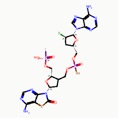 Nc1ncnc2c1ncn2[C@@H]1O[C@H](COP(=O)(S)OCC2C[C@H](n3c(=O)sc4c(N)ncnc43)O[C@@H]2CO[P@@](=O)(O)I)C[C@H]1F